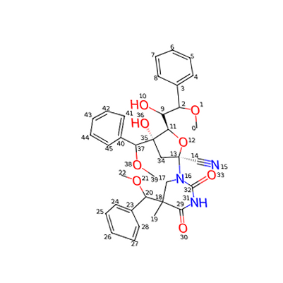 COC(c1ccccc1)C(O)[C@H]1O[C@@](C#N)(N2CC(C)(C(OC)c3ccccc3)C(=O)NC2=O)C[C@@]1(O)C(OC)c1ccccc1